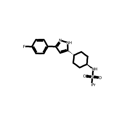 CC(C)S(=O)(=O)N[C@H]1CC[C@H](c2cc(-c3ccc(F)cc3)n[nH]2)CC1